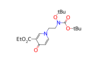 CCOC(=O)c1cn(CCN(OC(C)(C)C)C(=O)OC(C)(C)C)ccc1=O